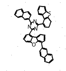 C1=C(c2nc(-c3ccc4ccccc4c3)nc(-c3cccc4oc5c(-c6ccc7ccccc7c6)cccc5c34)n2)c2c(sc3ccccc23)CC1